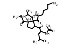 COC(=O)C1(N)CCC(C(=O)C(CC(C)C)NC(C)=O)C1(C(=O)C(C)N)C(=O)C(N)CCCCN